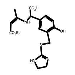 CCOC(=O)/C=C(/C)NC(C(=O)O)c1ccc(O)c(CSC2=NCCN2)c1